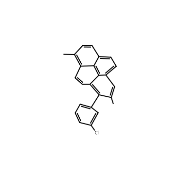 Cc1cc2ccc3ccc(C)c4ccc(c1-c1cccc(Cl)c1)c2c34